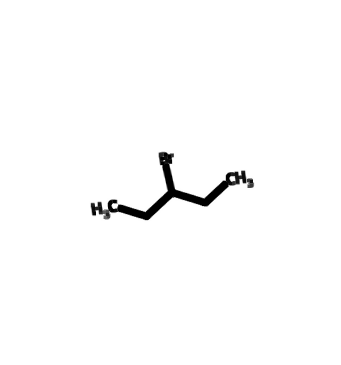 CC[C](Br)CC